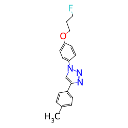 Cc1ccc(-c2cn(-c3ccc(OCCCF)cc3)nn2)cc1